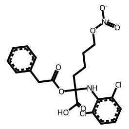 O=C(Cc1ccccc1)OC(CCCCO[N+](=O)[O-])(Nc1c(Cl)cccc1Cl)C(=O)O